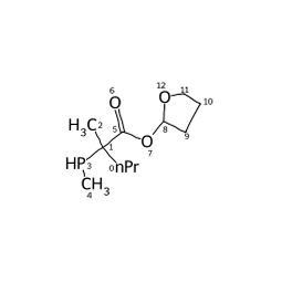 CCCC(C)(PC)C(=O)OC1CCCO1